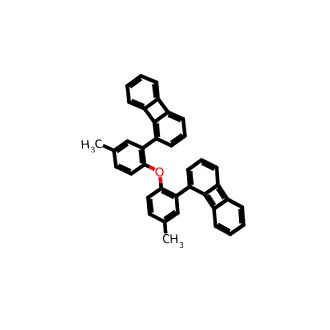 Cc1ccc(Oc2ccc(C)cc2-c2cccc3c2=c2ccccc2=3)c(-c2cccc3c2-c2ccccc2-3)c1